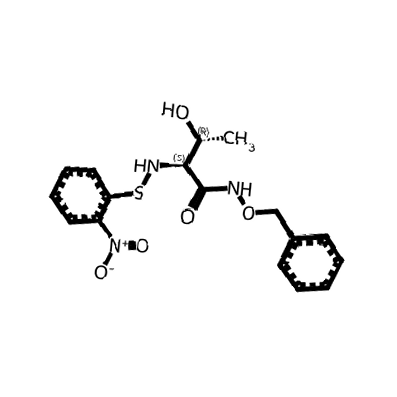 C[C@@H](O)[C@H](NSc1ccccc1[N+](=O)[O-])C(=O)NOCc1ccccc1